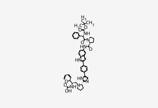 CC(C)(C)OC(=O)N[C@@H](C(=O)N1CCC[C@H]1C(=O)Nc1ccc2[nH]c(-c3ccc(-c4cnc([C@@H]5CCCN5C[C@@H](NC(=O)O)C5C=CC=CO5)[nH]4)cc3)cc2c1)c1ccccc1